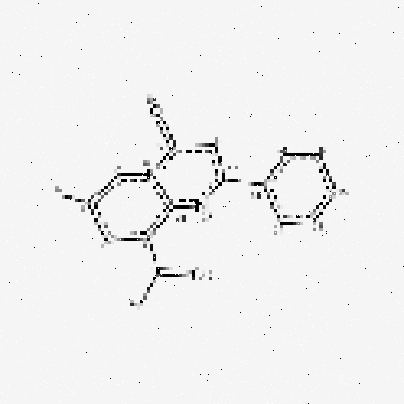 CC(=O)c1cc(C)cn2c(=O)cc(-c3ccccc3)nc12